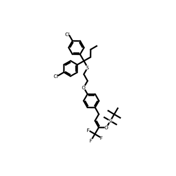 CCCC(SCCOc1ccc(CC=C(O[Si](C)(C)C(C)(C)C)C(F)(F)F)cc1)(c1ccc(Cl)cc1)c1ccc(Cl)cc1